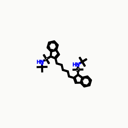 CC(C)(C)N[Si](C)(C)C1C(CCCCCC2=Cc3ccccc3C2[Si](C)(C)NC(C)(C)C)=Cc2ccccc21